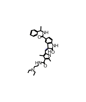 CCN(CC)CCNC(=O)c1c(C)[nH]c(/C=C2\C(=O)Nc3ccc(C(=O)NC(C)c4ccccc4)cc32)c1C